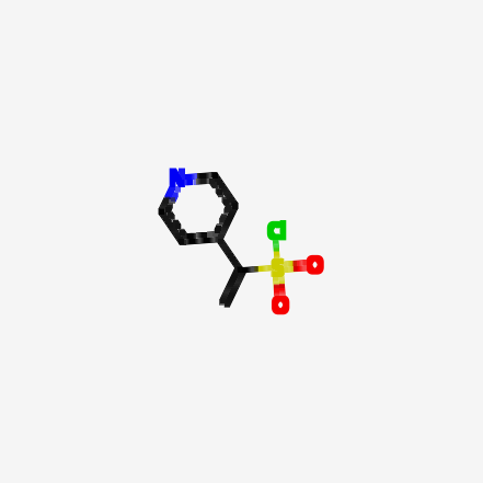 C=C(c1ccncc1)S(=O)(=O)Cl